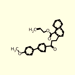 C=CCOC(=O)c1c(CCC(=O)c2ccc(-c3ccc(OC)cc3)cc2)ccc2ccccc12